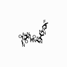 C[C@@H](C(=O)Nc1cncc(-c2cnc(N3CC4C(C3)C4(C)F)nc2)n1)n1cnc2c1c(=O)n(CC#N)c(=O)n2C